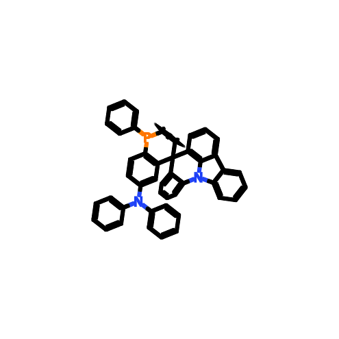 c1ccc(N(c2ccccc2)c2ccc3c(c2)C2(c4ccccc4-n4c5ccccc5c5cccc2c54)c2ccccc2P3c2ccccc2)cc1